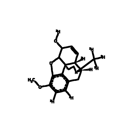 [2H]OC1C=C[C@@]2([2H])[C@H]3Cc4c([2H])c([2H])c(OC)c5c4[C@@]2(CCN3C([2H])([2H])[2H])C1O5